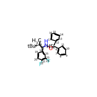 C[C@@H]([C@@H](NO[SiH](c1ccccc1)c1ccccc1)c1ccc(F)c(F)c1)C(C)(C)C